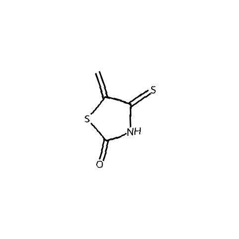 C=C1SC(=O)NC1=S